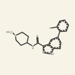 O=C(NC1CCN(C(=O)O)CC1)c1n[nH]c2ccc(-c3ccccc3F)cc12